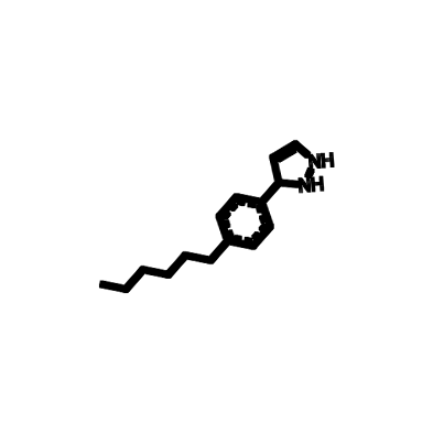 CCCCCCc1ccc(C2C=CNN2)cc1